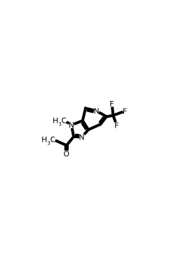 CC(=O)c1nc2cc(C(F)(F)F)ncc2n1C